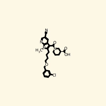 Cn1c(CCCCOCc2cccc(Cl)c2)c(C(=O)N2CCC[C@H](C(=O)O)C2)c2cc(C#N)cnc21